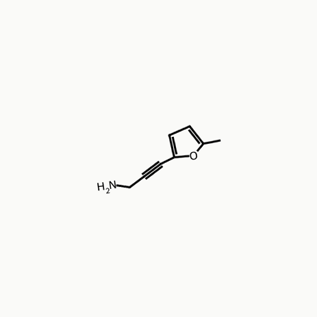 Cc1ccc(C#CCN)o1